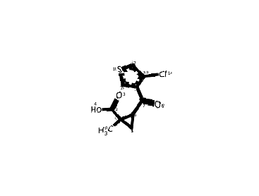 CC1(C(=O)O)CC1C(=O)c1cscc1Cl